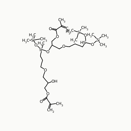 C=C(C)C(=O)OCC(O)COCCC[Si](C)(OC(COCCC[SiH](O[Si](C)(C)C)O[Si](C)(C)C)COC(=O)C(=C)C)O[Si](C)(C)C